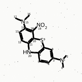 CN(C)c1ccc2c(c1)Sc1c(ccc(N(C)C)c1[N+](=O)[O-])N2